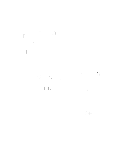 CCCC(C)Cc1ccc2nc(Sc3cc(NS(=O)(=O)c4ccc(Br)c(C(F)(F)F)c4)c4ccccc4c3O)sc2c1